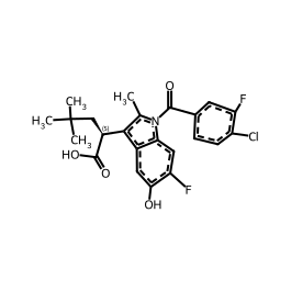 Cc1c([C@H](CC(C)(C)C)C(=O)O)c2cc(O)c(F)cc2n1C(=O)c1ccc(Cl)c(F)c1